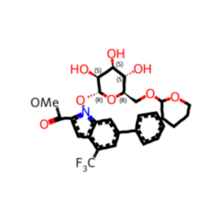 COC(=O)c1cc2c(C(F)(F)F)cc(-c3ccccc3)cc2n1O[C@H]1O[C@H](COC2CCCCO2)[C@@H](O)[C@H](O)[C@@H]1O